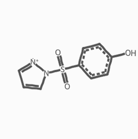 O=S(=O)(c1ccc(O)cc1)N1C=CC=[N+]1